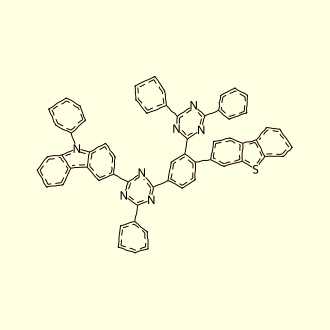 c1ccc(-c2nc(-c3ccc(-c4ccc5c(c4)sc4ccccc45)c(-c4nc(-c5ccccc5)nc(-c5ccccc5)n4)c3)nc(-c3ccc4c(c3)c3ccccc3n4-c3ccccc3)n2)cc1